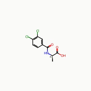 C[C@@H](NC(=O)c1ccc(Cl)c(Cl)c1)C(=O)O